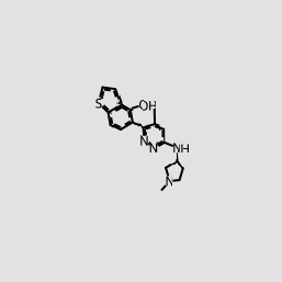 Cc1cc(NC2CCN(C)C2)nnc1-c1ccc2sccc2c1O